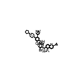 COc1cc(N2CCN(C3CCCC3)CC2)c(-c2cnn(C)c2)cc1Nc1ncc(Br)c(Nc2ccc3nc(C4CC4)ccc3c2P(C)C)n1